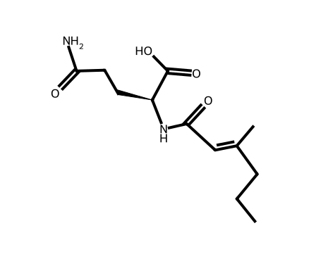 CCCC(C)=CC(=O)N[C@@H](CCC(N)=O)C(=O)O